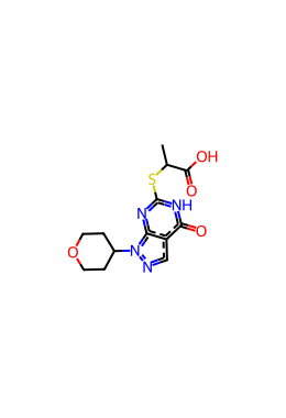 CC(Sc1nc2c(cnn2C2CCOCC2)c(=O)[nH]1)C(=O)O